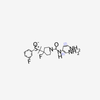 CC(C)([S+]([O-])c1cccc(F)c1)C1(F)CCN(C(=O)NC(/C=C\N)=C/N)CC1